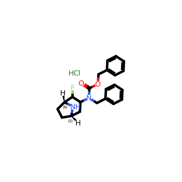 Cl.O=C(OCc1ccccc1)N(Cc1ccccc1)C1C[C@@H]2CC[C@@H](N2)C1F